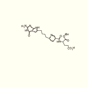 CCC(C)OC(=O)C(CCC(=O)O)NC(=O)c1ccc(CCCCc2cc3c(=O)[nH]c(N)nc3[nH]2)nc1